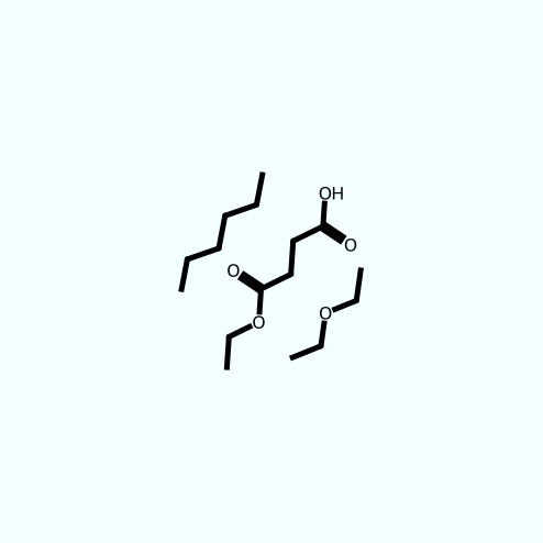 CCCCCC.CCOC(=O)CCC(=O)O.CCOCC